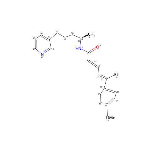 CC/C(=C\C=C\C(=O)N[C@H](C)CCCc1cccnc1)c1ccc(OC)cc1